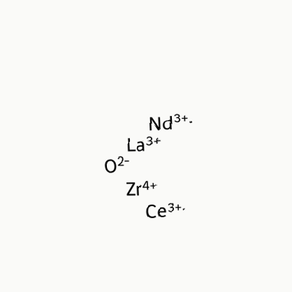 [Ce+3].[La+3].[Nd+3].[O-2].[Zr+4]